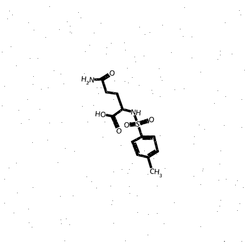 Cc1ccc(S(=O)(=O)NC(CCC(N)=O)C(=O)O)cc1